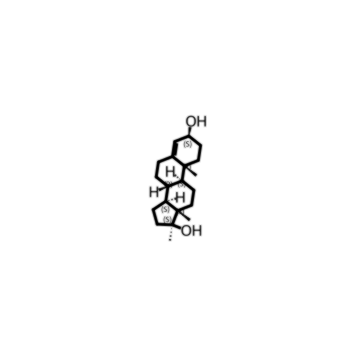 C[C@]12CC[C@H](O)C=C1CC[C@@H]1[C@@H]2CC[C@@]2(C)[C@H]1CC[C@]2(C)O